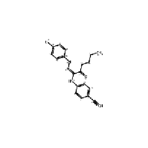 C#Cc1ccc(N/C(=N/Nc2ccc(Cl)cc2)C(=O)CCCC)cc1